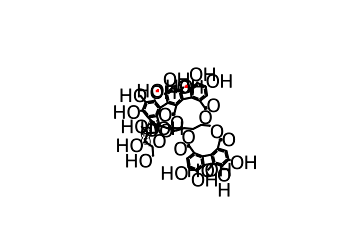 O=C1OCC2OC(=O)c3cc(O)c(O)c(O)c3-c3c(O)c(O)c(O)c4c3C(=O)OC(C2OC(=O)c2cc(O)c(O)c(O)c2-c2c1cc(O)c(O)c2O)C1OC(=O)c2c-4c(O)c(O)c(O)c2[C@H]1C1(O)OC(CO)[C@@H](O)[C@H]1O